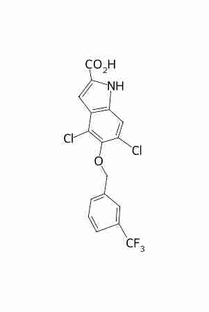 O=C(O)c1cc2c(Cl)c(OCc3cccc(C(F)(F)F)c3)c(Cl)cc2[nH]1